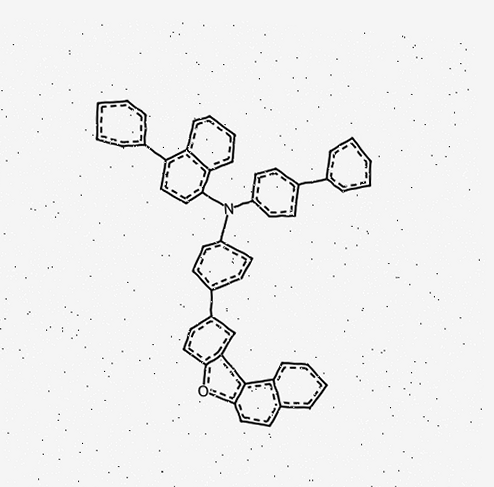 c1ccc(-c2ccc(N(c3ccc(-c4ccc5oc6ccc7ccccc7c6c5c4)cc3)c3ccc(-c4ccccc4)c4ccccc34)cc2)cc1